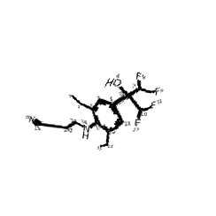 CCc1cc(C(O)(C(F)F)C(F)F)cc(CC)c1NCCC#N